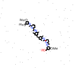 COc1cc(CO)cc(/N=C(\C)c2cccc(/C(C)=N/c3c(C)cc(Cc4cc(C)c(/N=C(\C)c5cccc(/C(C)=N/c6cc(OC)cc(OC)c6)n5)c(C)c4)cc3C)n2)c1